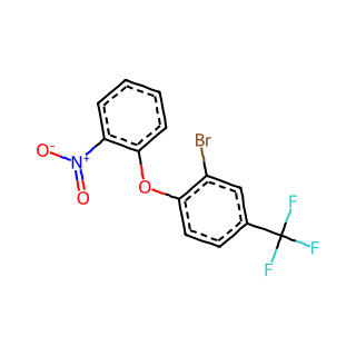 O=[N+]([O-])c1ccccc1Oc1ccc(C(F)(F)F)cc1Br